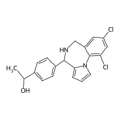 CC(O)c1ccc(C2NCc3cc(Cl)cc(Cl)c3-n3cccc32)cc1